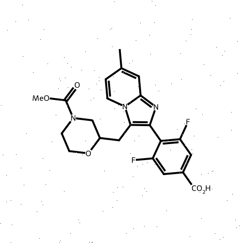 COC(=O)N1CCOC(Cc2c(-c3c(F)cc(C(=O)O)cc3F)nc3cc(C)ccn23)C1